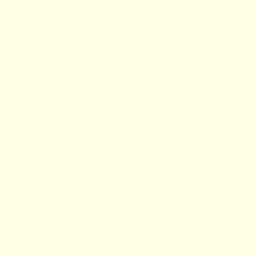 O=C(O)C=Cc1cnc2c(c1)CCN2S(=O)(=O)c1cccc2ccccc12